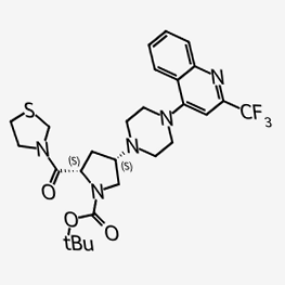 CC(C)(C)OC(=O)N1C[C@@H](N2CCN(c3cc(C(F)(F)F)nc4ccccc34)CC2)C[C@H]1C(=O)N1CCSC1